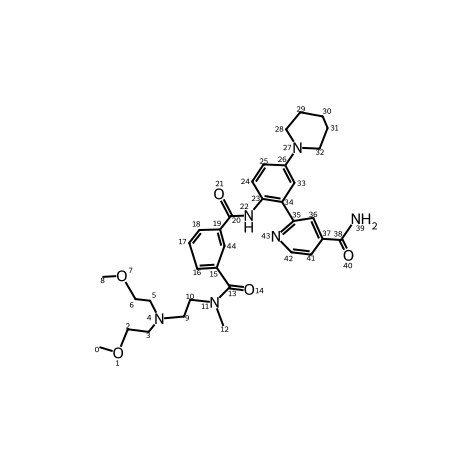 COCCN(CCOC)CCN(C)C(=O)c1cccc(C(=O)Nc2ccc(N3CCCCC3)cc2-c2cc(C(N)=O)ccn2)c1